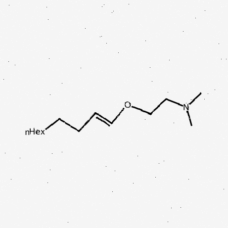 CCCCCCCCC=COCCN(C)C